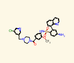 Nc1ccc(S(=O)(=O)Nc2ccc(C(=O)N3CCN(Cc4cncc(Cl)c4)CC3)cc2OC(F)(F)F)c(-c2cccc3cccnc23)c1